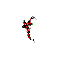 CCCCCC1CCC(C2CCC(OC(=O)c3ccc(C4=CC(c5ccc(F)cc5)(c5ccc(OCCCC)cc5)Oc5c4c4c(c6ccc(C(F)(F)F)cc56)-c5ccccc5C4(C)C)cc3)CC2)CC1